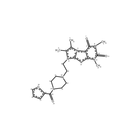 Cc1c(C)n2c3c(=O)n(C)c(=O)n(C)c3nc2n1CCN1CCN(C(=O)c2ccco2)CC1